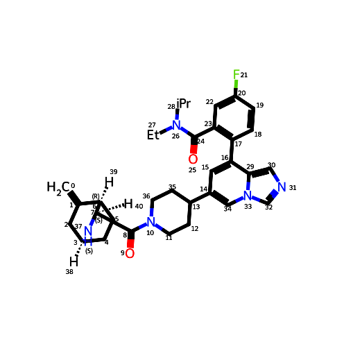 C=C1C[C@@H]2CC[C@H]1[C@@H](C(=O)N1CCC(c3cc(-c4ccc(F)cc4C(=O)N(CC)C(C)C)c4cncn4c3)CC1)N2